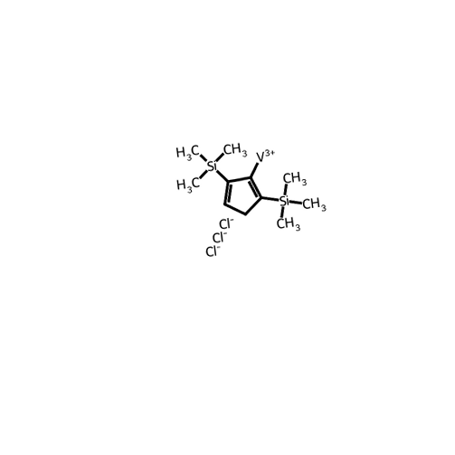 C[Si](C)(C)C1=CCC([Si](C)(C)C)=[C]1[V+3].[Cl-].[Cl-].[Cl-]